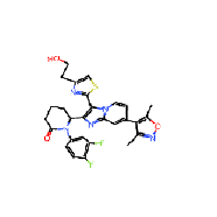 Cc1noc(C)c1-c1ccn2c(-c3nc(CCO)cs3)c(C3CCCC(=O)N3c3ccc(F)c(F)c3)nc2c1